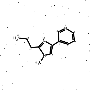 Cn1cc(-c2cccnc2)nc1CCN